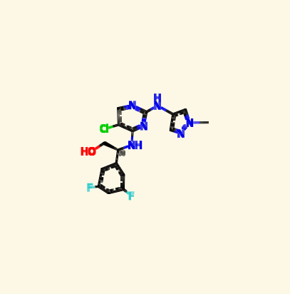 Cn1cc(Nc2ncc(Cl)c(N[C@H](CO)c3cc(F)cc(F)c3)n2)cn1